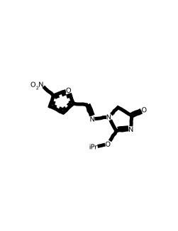 CC(C)OC1=NC(=O)CN1N=Cc1ccc([N+](=O)[O-])o1